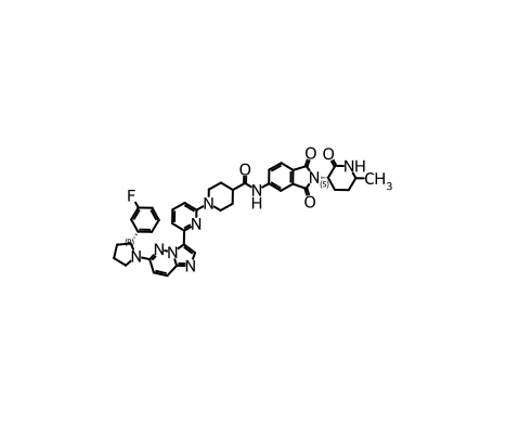 CC1CC[C@H](N2C(=O)c3ccc(NC(=O)C4CCN(c5cccc(-c6cnc7ccc(N8CCC[C@@H]8c8cccc(F)c8)nn67)n5)CC4)cc3C2=O)C(=O)N1